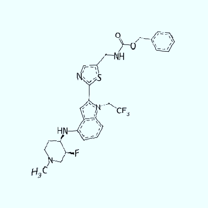 CN1CC[C@@H](Nc2cccc3c2cc(-c2ncc(CNC(=O)OCc4ccccc4)s2)n3CC(F)(F)F)[C@@H](F)C1